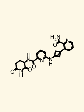 NC(=O)c1ncccc1C12CC(Nc3cccc(C(=O)NC4CCC(=O)NC4=O)n3)(C1)C2